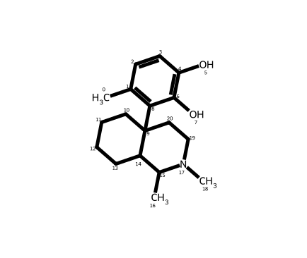 Cc1ccc(O)c(O)c1C12CCCCC1C(C)N(C)CC2